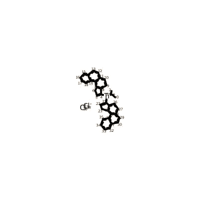 C[C](C)=[Ti+2]([C]1=CCc2c1ccc1ccc3ccccc3c21)[C]1=CCc2c1ccc1ccc3ccccc3c21.[Cl-].[Cl-]